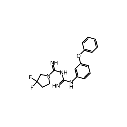 N=C(NC(=N)N1CCC(F)(F)C1)Nc1cccc(Oc2ccccc2)c1